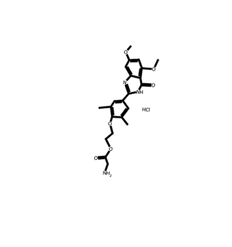 COc1cc(OC)c2c(=O)[nH]c(-c3cc(C)c(OCCOC(=O)CN)c(C)c3)nc2c1.Cl